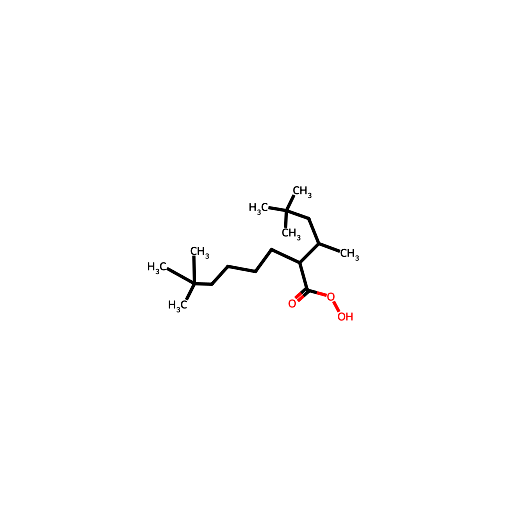 CC(CC(C)(C)C)C(CCCCC(C)(C)C)C(=O)OO